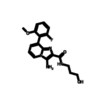 COc1cccc(F)c1-c1cccn2c(N)c(C(=O)NCCCO)nc12